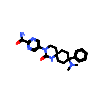 CN(C)[C@]1(c2ccccc2)CC[C@@]2(CCN(c3cnc(C(N)=O)nc3)C(=O)N2)CC1